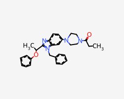 CCC(=O)N1CCN(c2ccc3nc(C(C)Oc4ccccc4)n(Cc4ccccc4)c3c2)CC1